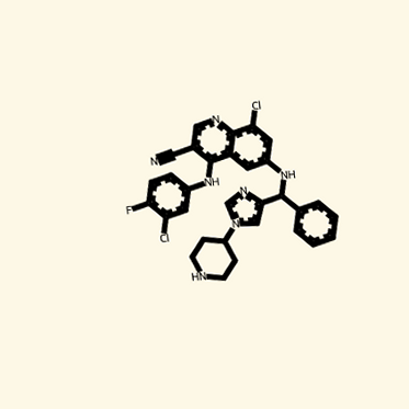 N#Cc1cnc2c(Cl)cc(NC(c3ccccc3)c3cn(C4CCNCC4)cn3)cc2c1Nc1ccc(F)c(Cl)c1